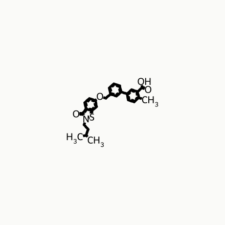 Cc1ccc(-c2cccc(COc3ccc4c(=O)n(CCC(C)C)sc4c3)c2)cc1C(=O)O